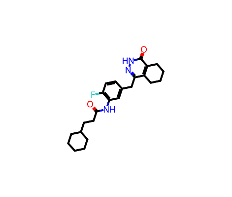 O=C(CCC1CCCCC1)Nc1cc(Cc2n[nH]c(=O)c3c2CCCC3)ccc1F